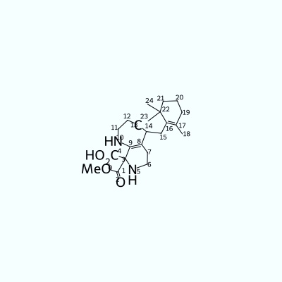 COC(=O)C1(C(=O)O)NCCC2=C1NCCCC2CC1=C(C)CCCC1(C)C